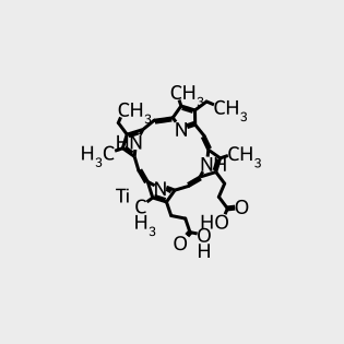 CCC1=C(C)c2cc3[nH]c(cc4nc(cc5[nH]c(cc1n2)c(C)c5CCC(=O)O)C(CCC(=O)O)=C4C)c(C)c3CC.[Ti]